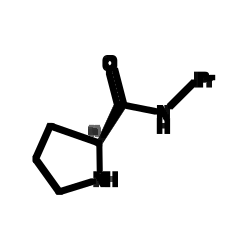 CC(C)NC(=O)[C@@H]1CCCN1